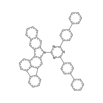 c1ccc(-c2ccc(-c3nc(-c4ccc(-c5ccccc5)cc4)nc(-n4c5cc6ccccc6cc5c5c6cccc7c6c(cc54)-c4ccccc4-7)n3)cc2)cc1